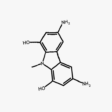 Cn1c2c(O)cc(N)cc2c2cc(N)cc(O)c21